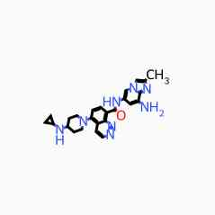 Cc1cn2cc(NC(=O)c3ccc(N4CCC(NC5CC5)CC4)c4ccnnc34)cc(N)c2n1